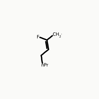 [CH2]C(F)=CCCCC